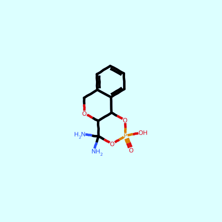 NC1(N)OP(=O)(O)OC2c3ccccc3COC21